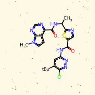 CC(NC(=O)c1ncnc2c1ccn2C)c1ncc(C(=O)Nc2cc(C(C)(C)C)c(Cl)nn2)s1